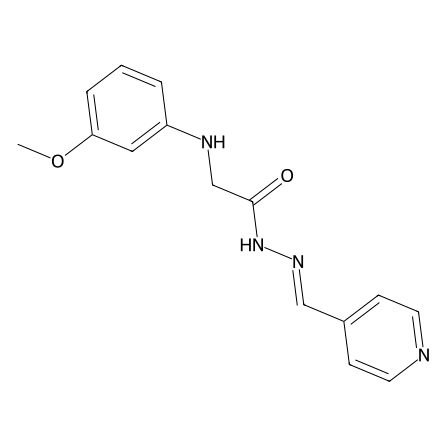 COc1cccc(NCC(=O)N/N=C/c2ccncc2)c1